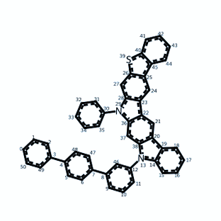 c1ccc(-c2ccc(-c3cccc(-n4c5ccccc5c5cc6c7cc8c(cc7n(-c7ccccc7)c6cc54)sc4ccccc48)c3)cc2)cc1